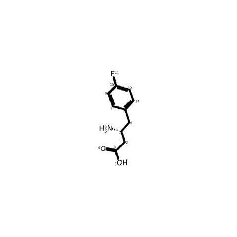 N[C@@H](CC(=O)O)Cc1ccc(F)cc1